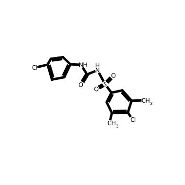 Cc1cc(S(=O)(=O)NC(=O)Nc2ccc(Cl)cc2)cc(C)c1Cl